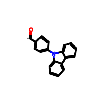 O=[C]c1ccc(-n2c3ccccc3c3ccccc32)cc1